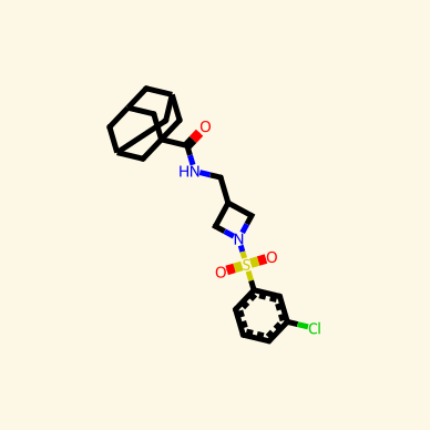 O=C(NCC1CN(S(=O)(=O)c2cccc(Cl)c2)C1)C12CC3CC(CC(C3)C1)C2